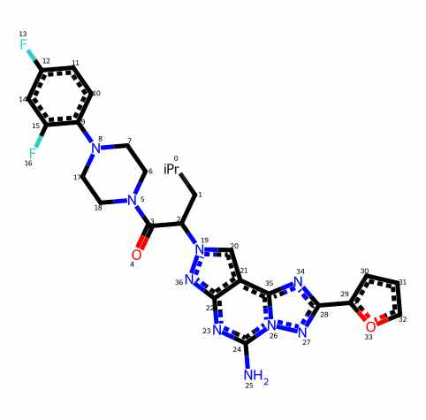 CC(C)CC(C(=O)N1CCN(c2ccc(F)cc2F)CC1)n1cc2c(nc(N)n3nc(-c4ccco4)nc23)n1